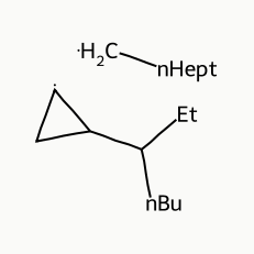 CCCCC(CC)C1[CH]C1.[CH2]CCCCCCC